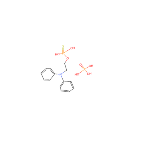 O=P(O)(O)O.OP(O)(=S)OCCN(c1ccccc1)c1ccccc1